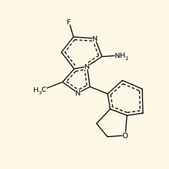 Cc1nc(-c2cccc3c2CCO3)n2c(N)nc(F)cc12